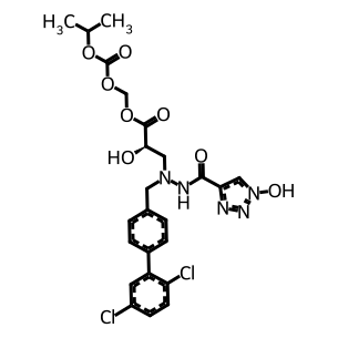 CC(C)OC(=O)OCOC(=O)[C@H](O)CN(Cc1ccc(-c2cc(Cl)ccc2Cl)cc1)NC(=O)c1cn(O)nn1